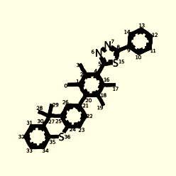 Cc1c(C)c(-c2nnc(-c3ccccc3)s2)c(C)c(C)c1-c1ccc2c(c1)C(C)(C)c1ccccc1S2